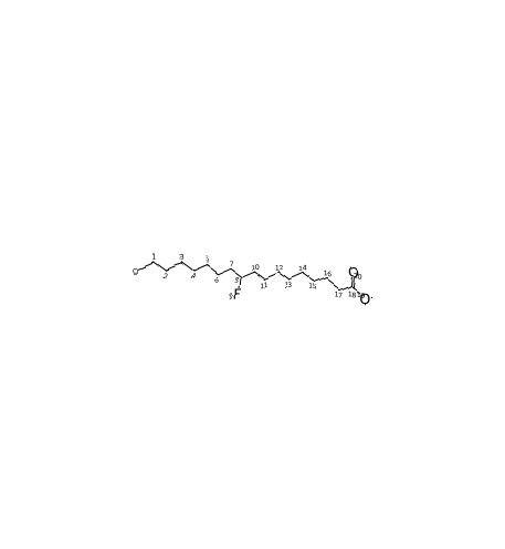 CCCCCCCCC(F)CCCCCCCCC([O])=O